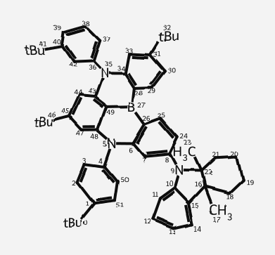 CC(C)(C)c1ccc(N2c3cc(N4c5ccccc5C5(C)CCCCC45C)ccc3B3c4ccc(C(C)(C)C)cc4N(c4cccc(C(C)(C)C)c4)c4cc(C(C)(C)C)cc2c43)cc1